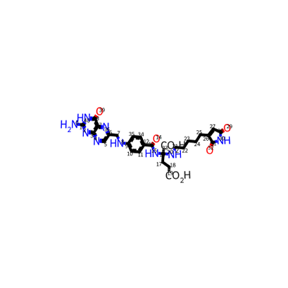 Nc1nc2ncc(CNc3ccc(C(=O)NC(CCC(=O)O)(NCCCCCC4=CC(=O)NC4=O)C(=O)O)cc3)nc2c(=O)[nH]1